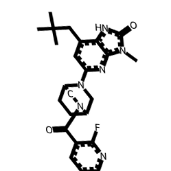 Cn1c(=O)[nH]c2c(CC(C)(C)C)cc(N3CC4CCC3CN4C(=O)c3cccnc3F)nc21